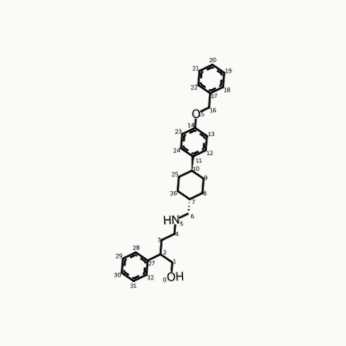 OCC(CCNC[C@H]1CC[C@H](c2ccc(OCc3ccccc3)cc2)CC1)c1ccccc1